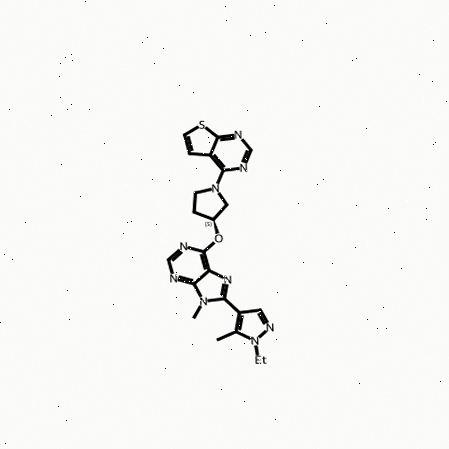 CCn1ncc(-c2nc3c(O[C@H]4CCN(c5ncnc6sccc56)C4)ncnc3n2C)c1C